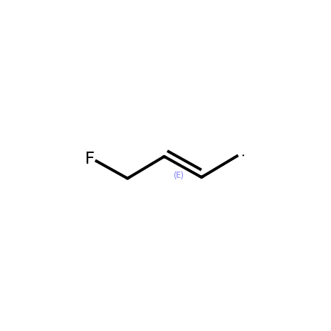 [CH2]/C=C/CF